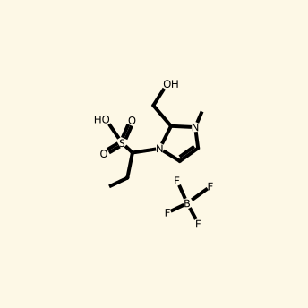 CCC(N1C=CN(C)C1CO)S(=O)(=O)O.F[B-](F)(F)F